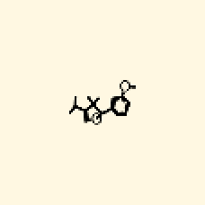 COc1cccc(C2OC=C(C(C)C)C2(C)C)c1